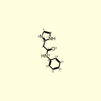 O=C(Cc1ncc[nH]1)Nc1ccccc1